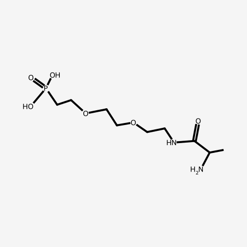 CC(N)C(=O)NCCOCCOCCP(=O)(O)O